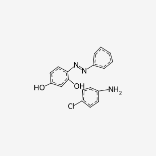 Nc1ccc(Cl)cc1.Oc1ccc(N=Nc2ccccc2)c(O)c1